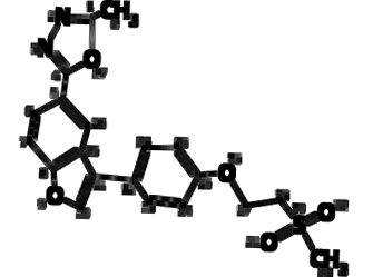 Cc1nnc(-c2ccc3occ(-c4ccc(OCCS(C)(=O)=O)cc4)c3c2)o1